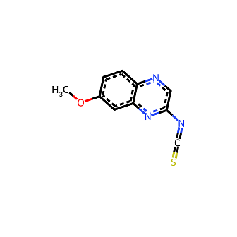 COc1ccc2ncc(N=C=S)nc2c1